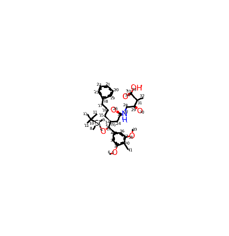 COc1cc([C@@H](O[Si](C)(C)C(C)(C)C)[C@@H](CCCc2ccccc2)CC(=O)NCC(=O)C(C)C(=O)O)cc(OC)c1C